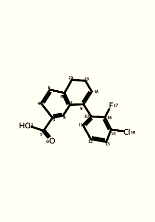 O=C(O)c1ccc2c(c1)C(c1cccc(Cl)c1F)=CCC2